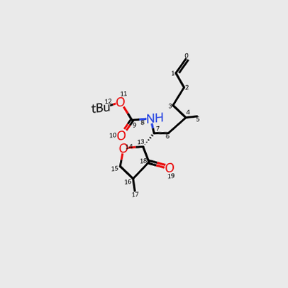 C=CCCC(C)CC(NC(=O)OC(C)(C)C)[C@H]1OCC(C)C1=O